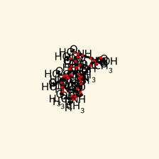 CCNC(=O)[C@H](CC(C)C)NC(=O)[C@@H]1CCCN1C(=O)COCCNC(=O)[C@@H](CCC(=O)O)NC(=O)[C@@H](CCC(=O)O)NC(=O)[C@@H](CCC(=O)O)NC(=O)[C@@H](CCC(=O)O)NC(=O)[C@@H](CCC(=O)O)NC(=O)[C@@H](CCC(=O)O)NC(=O)[C@@H](CCC(=O)O)NC(=O)[C@@H](CCC(=O)O)NC(=O)[C@@H](CCC(=O)O)NC(=O)CCCCCN1/C(=C/C=C/C=C/C=C/C2=Nc3ccc(S(=O)(=O)O)cc3C2(C)C)C(C)(C)c2cc(S(=O)(=O)O)ccc21